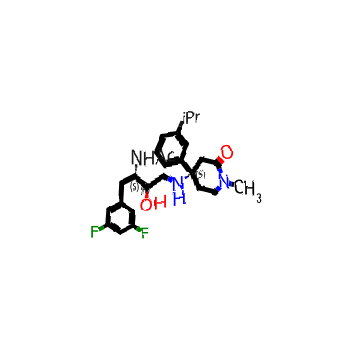 CC(=O)N[C@@H](Cc1cc(F)cc(F)c1)[C@H](O)CN[C@@]1(c2cccc(C(C)C)c2)CCN(C)C(=O)C1